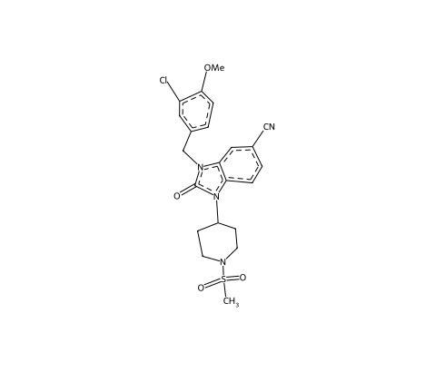 COc1ccc(Cn2c(=O)n(C3CCN(S(C)(=O)=O)CC3)c3ccc(C#N)cc32)cc1Cl